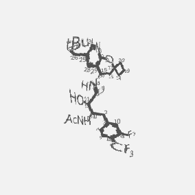 CC(=O)N[C@@H](Cc1ccc(C(F)(F)F)c(F)c1)[C@@H](O)CN[C@H]1CC2(CCC2)Oc2ncc(CC(C)(C)C)cc21